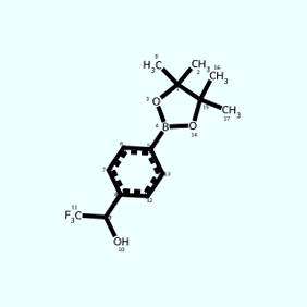 CC1(C)OB(c2ccc(C(O)C(F)(F)F)cc2)OC1(C)C